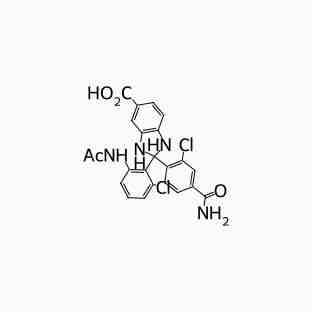 CC(=O)Nc1cccc(Cl)c1C1(c2ccc(C(N)=O)cc2Cl)Nc2ccc(C(=O)O)cc2N1